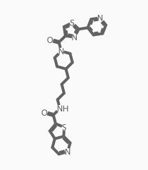 O=C(NCCCCC1CCN(C(=O)c2csc(-c3cccnc3)n2)CC1)C1=CC2CC=NC=C2S1